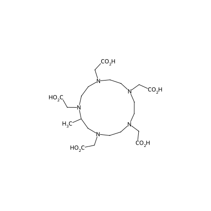 CC1CN(CC(=O)O)CCN(CC(=O)O)CCN(CC(=O)O)CCN(CC(=O)O)CCN1CC(=O)O